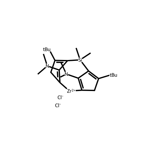 CN(C)C1=[C]2CC(C(C)(C)C)=C1[Si](C)(C)C1=C(C(C)(C)C)C[C](=C1N(C)C)[Zr+2]2.[Cl-].[Cl-]